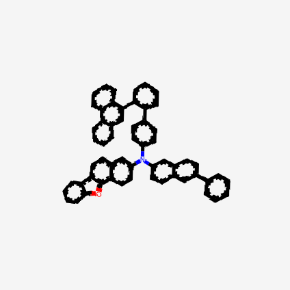 c1ccc(-c2ccc3cc(N(c4ccc(-c5ccccc5-c5cc6ccccc6c6ccccc56)cc4)c4ccc5c(ccc6c7ccccc7oc56)c4)ccc3c2)cc1